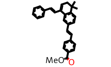 COC(=O)c1ccc(/C=C/c2ccc3c(c2)C(/C=C/c2ccccc2)=CCC3(C)C)cc1